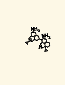 CN1Cc2c(C3Cc4cc(N)cc5c4C(C)(C3)CN(C3CC3)C5)c(N)cc3c2C(C2CC2)(CCC3)C1